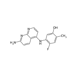 Cc1cc(F)c(Nc2ccnc3nc(N)ccc23)cc1O